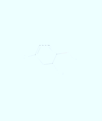 CCC1=CC=C(OC(F)(F)F)C(C)C1